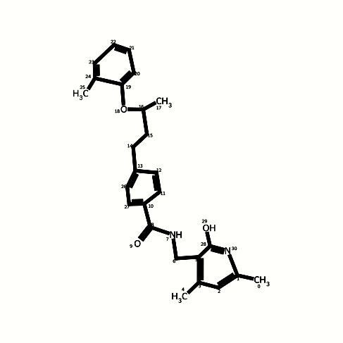 Cc1cc(C)c(CNC(=O)c2ccc(CCC(C)Oc3ccccc3C)cc2)c(O)n1